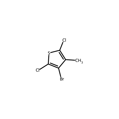 Cc1c(Cl)sc(Cl)c1Br